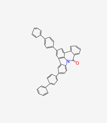 O=c1c2ccccc2c2cc(-c3ccc(-c4ccccc4)cc3)cc3c4cc(-c5ccc(-c6ccccc6)cc5)ccc4n1c23